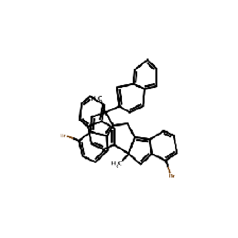 CC1(c2ccc3ccccc3c2)C=c2c(Br)cccc2=C1CC1=c2cccc(Br)c2=CC1(C)c1ccc2ccccc2c1